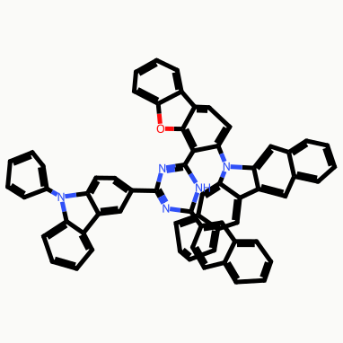 c1ccc(-n2c3ccccc3c3cc(C4=NC(c5ccc6ccccc6c5)NC(c5c(-n6c7cc8ccccc8cc7c7cc8ccccc8cc76)ccc6c5oc5ccccc56)=N4)ccc32)cc1